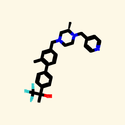 Cc1cc(CN2CCN(Cc3ccncc3)[C@@H](C)C2)ccc1-c1ccc(C(C)(O)C(F)(F)F)cc1